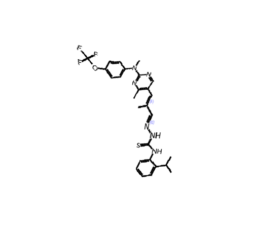 CC(/C=N/NC(=S)Nc1ccccc1C(C)C)=C\c1cnc(N(C)c2ccc(OC(F)(F)F)cc2)nc1C